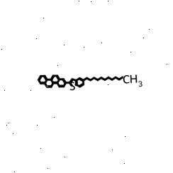 CCCCCCCCCCCCc1ccc2sc(-c3ccc4c(ccc5c6ccccc6ccc45)c3)cc2c1